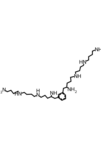 NCCCCNCCCCNCCCC(N)Cc1cccc(CC(N)CCCNCCCCNCCCCN)c1